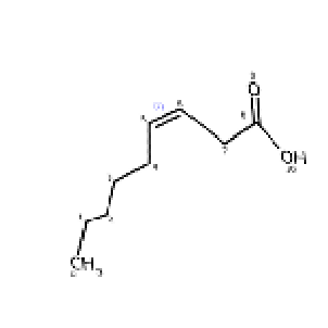 CCCCC/C=C\CC(=O)O